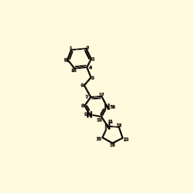 [c]1cccc(CCc2cnc(N3CCCC3)nc2)c1